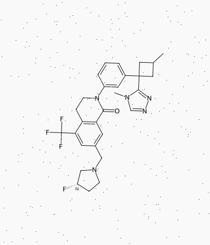 CC1CC(c2cccc(N3CCc4c(cc(CN5CC[C@H](F)C5)cc4C(F)(F)F)C3=O)c2)(c2nncn2C)C1